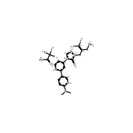 CN(C)c1ccc(-c2cc(-n3cnn(CC(CN)=C(F)F)c3=O)ccn2)cn1.O=C(O)C(F)(F)F